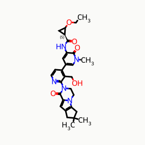 CCOC1C[C@@H]1C(=O)Nc1cc(-c2ccnc(N3CCn4c(cc5c4CC(C)(C)C5)C3=O)c2CO)cn(C)c1=O